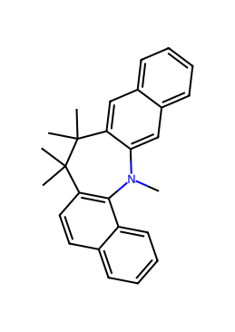 CN1c2cc3ccccc3cc2C(C)(C)C(C)(C)c2ccc3ccccc3c21